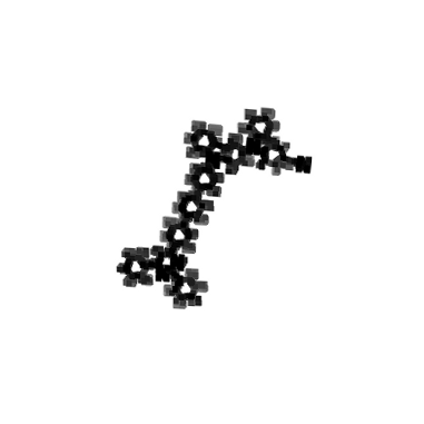 N#Cc1ccc2c(c1)c1ccccc1n2-c1ccc2c(c1)c1ccccc1n2-c1ccc(-c2ccc(-c3ccc(-c4cc(-c5ccccc5)nc(-c5ccccc5)n4)cc3)cc2)cc1